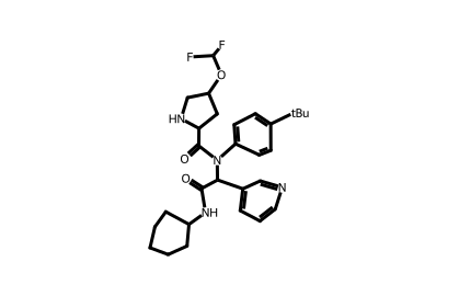 CC(C)(C)c1ccc(N(C(=O)C2CC(OC(F)F)CN2)C(C(=O)NC2CCCCC2)c2cccnc2)cc1